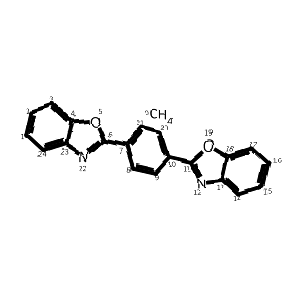 C.c1ccc2oc(-c3ccc(-c4nc5ccccc5o4)cc3)nc2c1